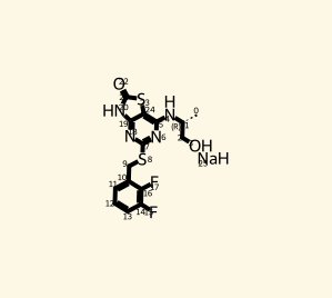 C[C@H](CO)Nc1nc(SCc2cccc(F)c2F)nc2[nH]c(=O)sc12.[NaH]